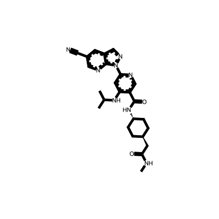 CNC(=O)C[C@H]1CC[C@H](NC(=O)c2cnc(-n3ncc4cc(C#N)cnc43)cc2NC(C)C)CC1